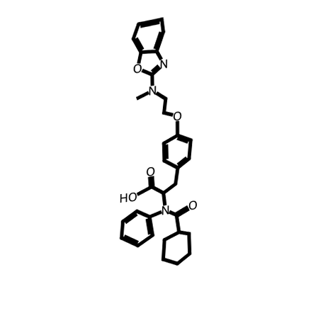 CN(CCOc1ccc(CC(C(=O)O)N(C(=O)C2CCCCC2)c2ccccc2)cc1)c1nc2ccccc2o1